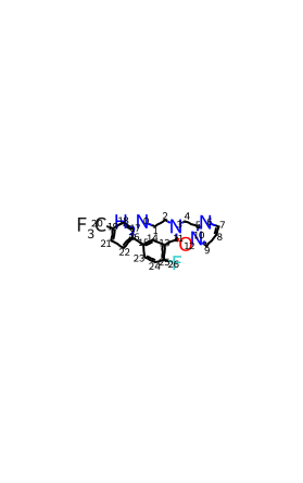 NCCN(Cc1ncccn1)C(=O)c1cc(-c2ccc(C(F)(F)F)cc2)ccc1F